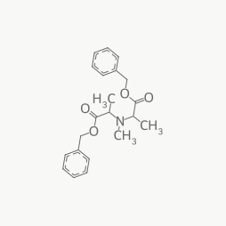 CC(C(=O)OCc1ccccc1)N(C)C(C)C(=O)OCc1ccccc1